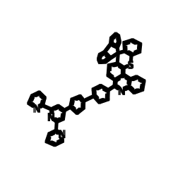 c1ccc(-c2cc(-c3ccc(-c4ccc(-c5nc6ccccc6c6c7c(ccc56)C5(c6ccccc6S7)c6ccccc6-c6ccccc65)cc4)cc3)cc(-c3ccccn3)n2)nc1